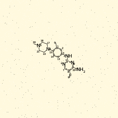 Cc1cc(Nc2ncc(F)c(N)n2)ccc1N1CCN(C)CC1